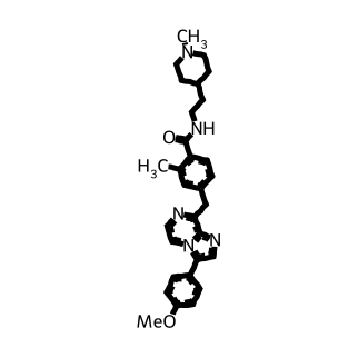 COc1ccc(-c2cnc3c(Cc4ccc(C(=O)NCCC5CCN(C)CC5)c(C)c4)nccn23)cc1